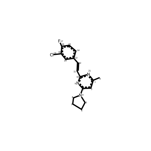 Cc1cc(N2CCCC2)nc(/C=C/c2ccc(F)c(Cl)c2)n1